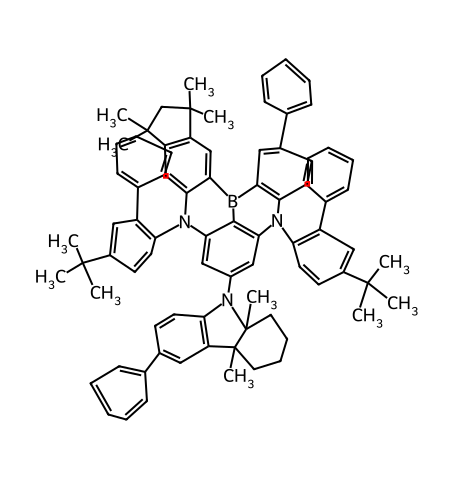 CC(C)(C)c1ccc(N2c3ccc(-c4ccccc4)cc3B3c4cc5c(cc4N(c4ccc(C(C)(C)C)cc4-c4ccccc4)c4cc(N6c7ccc(-c8ccccc8)cc7C7(C)CCCCC67C)cc2c43)C(C)(C)CC5(C)C)c(-c2ccccc2)c1